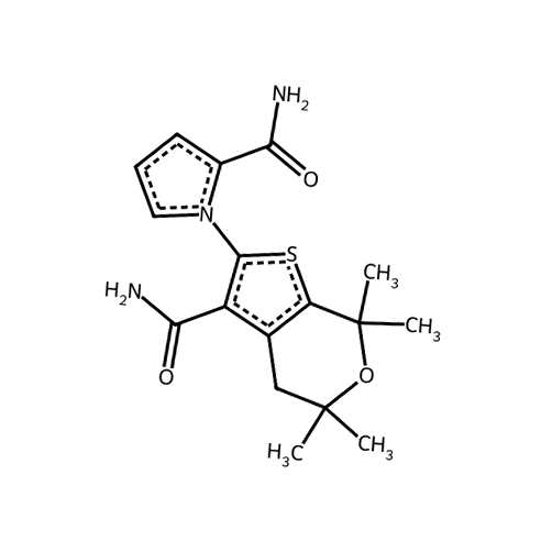 CC1(C)Cc2c(sc(-n3cccc3C(N)=O)c2C(N)=O)C(C)(C)O1